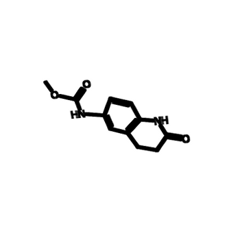 COC(=O)Nc1ccc2c(c1)CCC(=O)N2